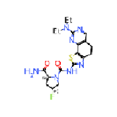 CCN(CC)c1ncc2c(n1)-c1sc(NC(=O)N3C[C@H](F)C[C@H]3C(N)=O)nc1CC2